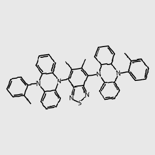 Cc1ccccc1N1c2ccccc2N(c2c(C)c(C)c(N3c4ccccc4N(c4ccccc4C)C4C=CC=CC43)c3nsnc23)c2ccccc21